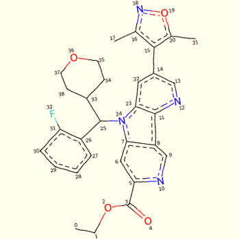 CCOC(=O)c1cc2c(cn1)c1ncc(-c3c(C)noc3C)cc1n2C(c1ccccc1F)C1CCOCC1